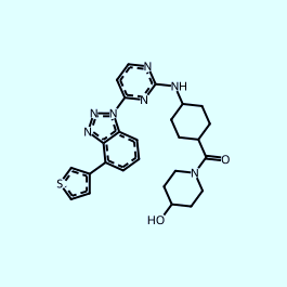 O=C(C1CCC(Nc2nccc(-n3nnc4c(-c5ccsc5)cccc43)n2)CC1)N1CCC(O)CC1